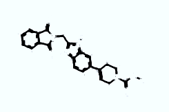 CCn1c(CN2C(=O)c3ccccc3C2=O)nc2ccc(C3=CCN(C(=O)OC(C)(C)C)CC3)cc21